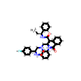 CC[C@H](NC(=O)c1c(CN2CCNC(c3ccc(F)cc3)C2)n(-c2ccccc2)c(=O)c2ccccc12)c1ccccc1